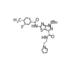 Cc1ccc(C(=O)Nc2nc3c(s2)c(C(=O)NCCn2cccc2)nn3C(C)(C)C)cc1F